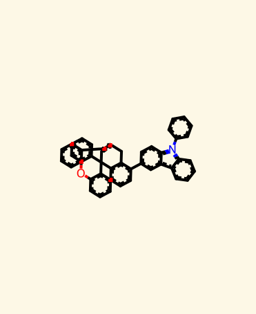 c1ccc(-c2cccc3c2C2(c4ccccc4Oc4ccccc42)c2cccc(-c4ccc5c(c4)c4ccccc4n5-c4ccccc4)c2C3)cc1